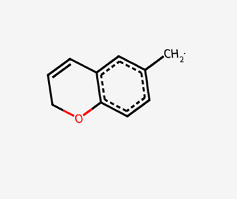 [CH2]c1ccc2c(c1)C=CCO2